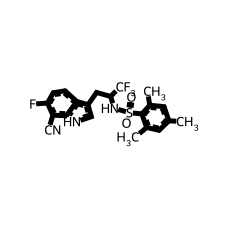 Cc1cc(C)c(S(=O)(=O)NC(Cc2c[nH]c3c(C#N)c(F)ccc23)C(F)(F)F)c(C)c1